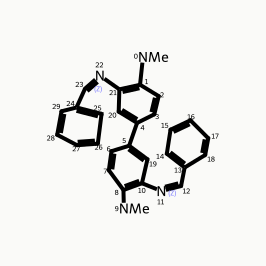 CNc1ccc(-c2ccc(NC)c(/N=C\c3ccccc3)c2)cc1/N=C\c1ccccc1